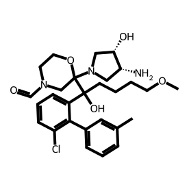 COCCCCC(O)(c1cccc(Cl)c1-c1cccc(C)c1)C1(N2C[C@@H](N)[C@@H](O)C2)CN(C=O)CCO1